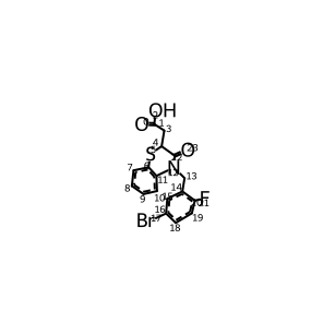 O=C(O)CC1Sc2ccccc2N(Cc2cc(Br)ccc2F)C1=O